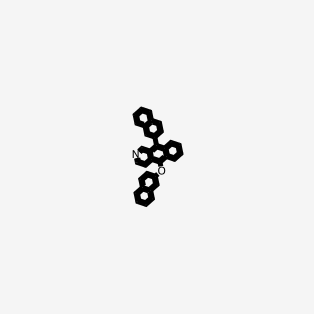 c1ccc2cc(Oc3c4ccccc4c(-c4ccc5ccccc5c4)c4cnccc34)ccc2c1